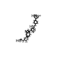 CN/C=C(\C=N)c1ccc(CNc2cc(-c3cnc4cc(N5CCC(CCO)C5)ccn34)ncn2)cc1